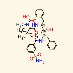 CN(C(=O)O)[C@H](C(=O)N[C@@H](Cc1ccccc1)[C@H](O)C[C@H](Cc1ccccc1)NC(=O)c1cccc(S(N)(=O)=O)c1)C(C)(C)C